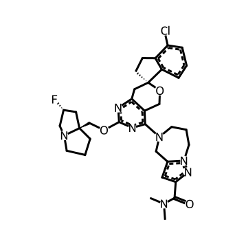 CN(C)C(=O)c1cc2n(n1)CCCN(c1nc(OC[C@@]34CCCN3C[C@H](F)C4)nc3c1CO[C@@]1(CCc4c(Cl)cccc41)C3)C2